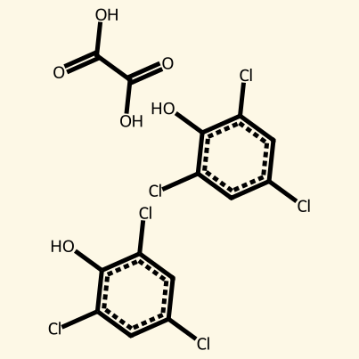 O=C(O)C(=O)O.Oc1c(Cl)cc(Cl)cc1Cl.Oc1c(Cl)cc(Cl)cc1Cl